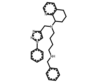 c1ccc(CNCCCCN(Cc2cn(-c3ccccc3)nn2)C2CCCc3cccnc32)cc1